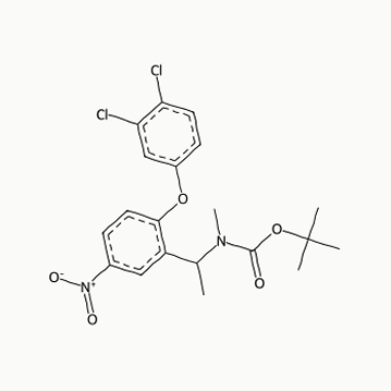 CC(c1cc([N+](=O)[O-])ccc1Oc1ccc(Cl)c(Cl)c1)N(C)C(=O)OC(C)(C)C